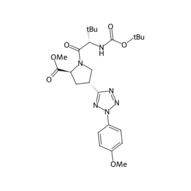 COC(=O)[C@@H]1C[C@@H](c2nnn(-c3ccc(OC)cc3)n2)CN1C(=O)[C@@H](NC(=O)OC(C)(C)C)C(C)(C)C